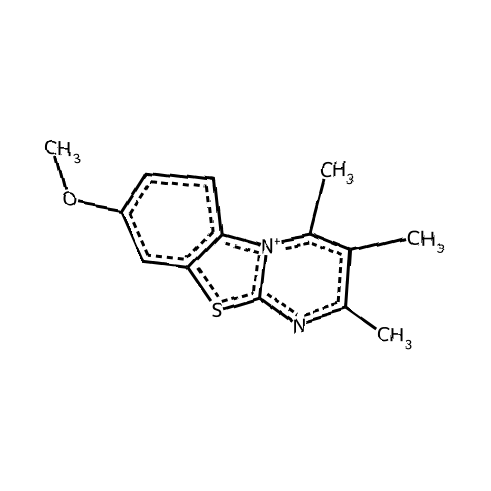 COc1ccc2c(c1)sc1nc(C)c(C)c(C)[n+]12